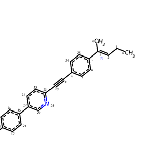 C[CH]/C=C(\C)c1ccc(C#Cc2ccc(-c3ccc(Cl)cc3)cn2)cc1